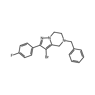 Fc1ccc(-c2nn3c(c2Br)CN(Cc2ccccc2)CC3)cc1